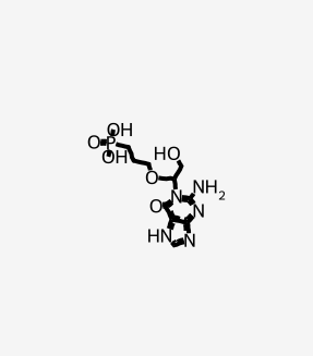 Nc1nc2nc[nH]c2c(=O)n1C(CO)OCCCP(=O)(O)O